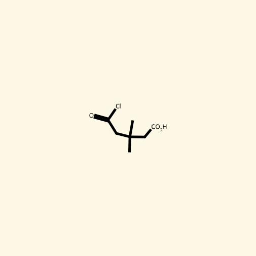 CC(C)(CC(=O)O)CC(=O)Cl